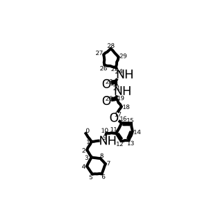 CC(CC1CCCCC1)NCc1ccccc1OCC(=O)NC(=O)NC1CCCC1